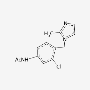 CC(=O)Nc1ccc(Cn2ccnc2C)c(Cl)c1